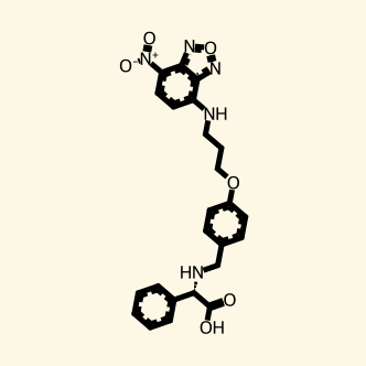 O=C(O)[C@@H](NCc1ccc(OCCCNc2ccc([N+](=O)[O-])c3nonc23)cc1)c1ccccc1